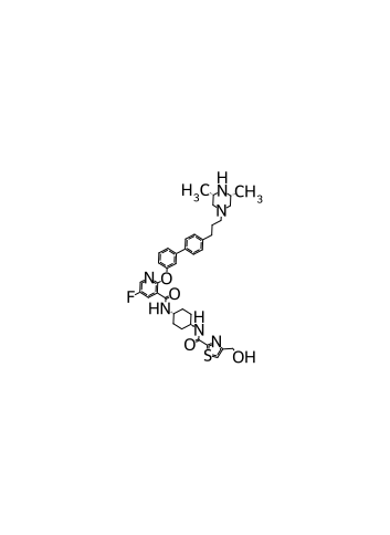 C[C@@H]1CN(CCCc2ccc(-c3cccc(Oc4ncc(F)cc4C(=O)N[C@H]4CC[C@H](NC(=O)c5nc(CO)cs5)CC4)c3)cc2)C[C@H](C)N1